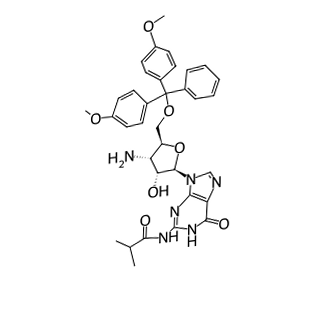 COc1ccc(C(OC[C@H]2O[C@@H](n3cnc4c(=O)[nH]c(NC(=O)C(C)C)nc43)[C@H](O)[C@@H]2N)(c2ccccc2)c2ccc(OC)cc2)cc1